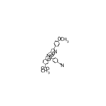 COC(=O)c1ccc(CN(CC2CC(c3ccc(OC)cc3)=NO2)S(=O)(=O)c2ccc(C#N)cc2)cc1